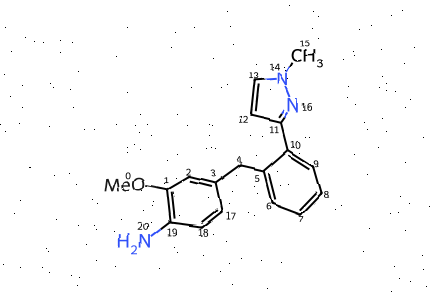 COc1cc(Cc2ccccc2-c2ccn(C)n2)ccc1N